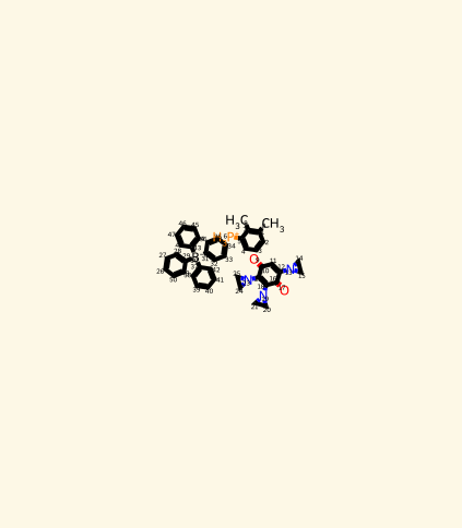 Cc1cccc([PH3+])c1C.O=C1C=C(N2CC2)C(=O)C(N2CC2)=C1N1CC1.c1ccc([B-](c2ccccc2)(c2ccccc2)c2ccccc2)cc1